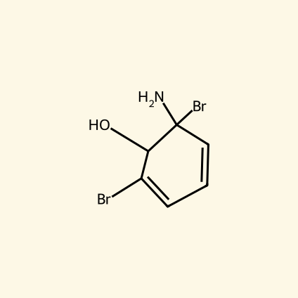 NC1(Br)C=CC=C(Br)C1O